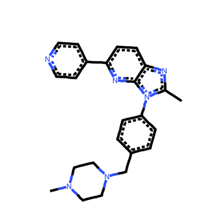 Cc1nc2ccc(-c3ccncc3)nc2n1-c1ccc(CN2CCN(C)CC2)cc1